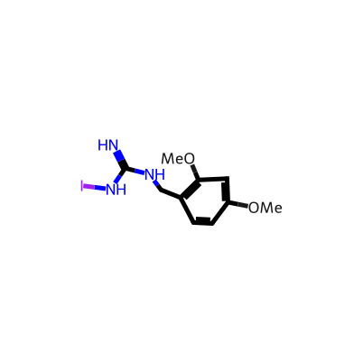 COc1ccc(CNC(=N)NI)c(OC)c1